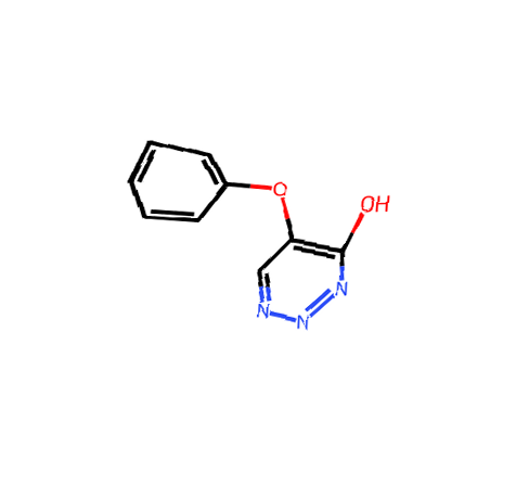 Oc1nnncc1Oc1ccccc1